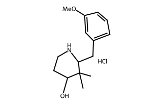 COc1cccc(CC2NCCC(O)C2(C)C)c1.Cl